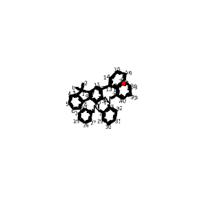 CC1(C)c2ccccc2-c2c1cc(-c1ccccc1)c1c2N(c2ccccc2)c2ccccc2N1c1ccccc1